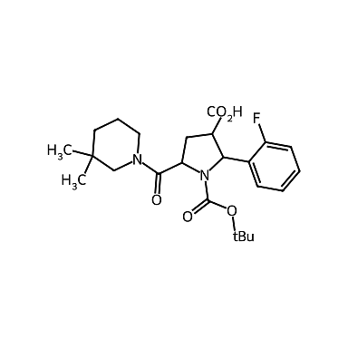 CC1(C)CCCN(C(=O)C2CC(C(=O)O)C(c3ccccc3F)N2C(=O)OC(C)(C)C)C1